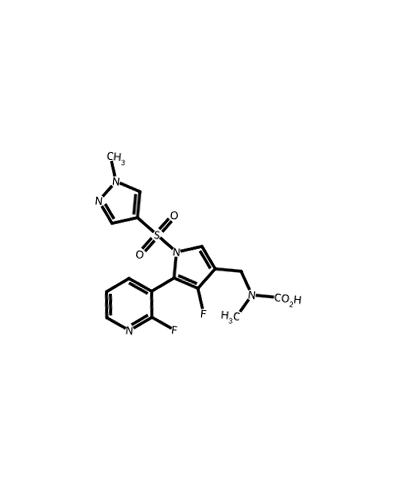 CN(Cc1cn(S(=O)(=O)c2cnn(C)c2)c(-c2cccnc2F)c1F)C(=O)O